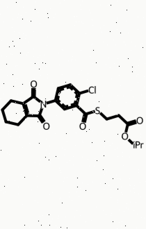 CC(C)OC(=O)CCSC(=O)c1cc(N2C(=O)C3=C(CCCC3)C2=O)ccc1Cl